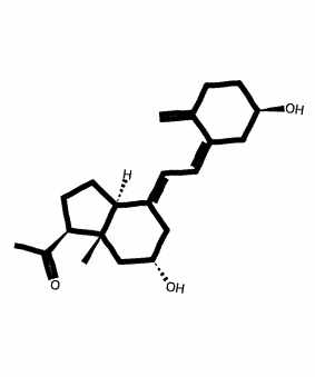 C=C1CC[C@@H](O)C/C1=C/C=C1\C[C@H](O)C[C@]2(C)[C@@H](C(C)=O)CC[C@@H]12